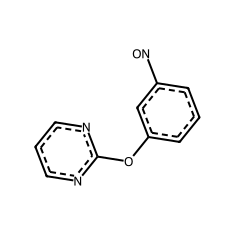 O=Nc1cccc(Oc2ncccn2)c1